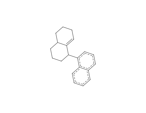 C1=C2C(CCC1)CCCC2c1cccc2ccccc12